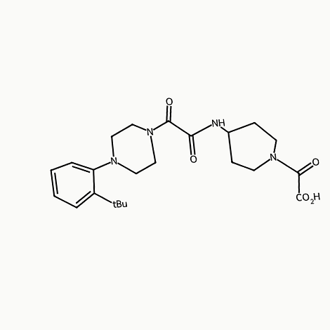 CC(C)(C)c1ccccc1N1CCN(C(=O)C(=O)NC2CCN(C(=O)C(=O)O)CC2)CC1